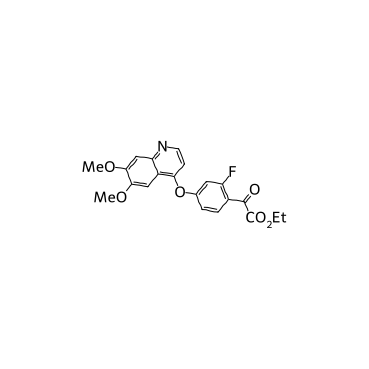 CCOC(=O)C(=O)c1ccc(Oc2ccnc3cc(OC)c(OC)cc23)cc1F